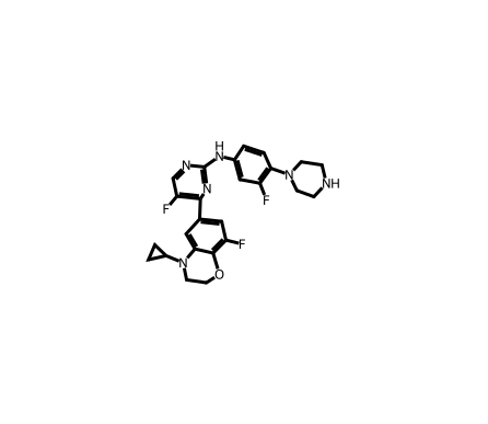 Fc1cc(Nc2ncc(F)c(-c3cc(F)c4c(c3)N(C3CC3)CCO4)n2)ccc1N1CCNCC1